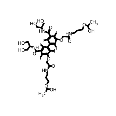 CC(O)OCCCNC(=O)COc1c(I)c(C(=O)NC(CO)CO)c(I)c(-c2c(I)c(OCC(=O)NCCCOC(C)O)c(I)c(C(=O)NC(CO)CO)c2I)c1I